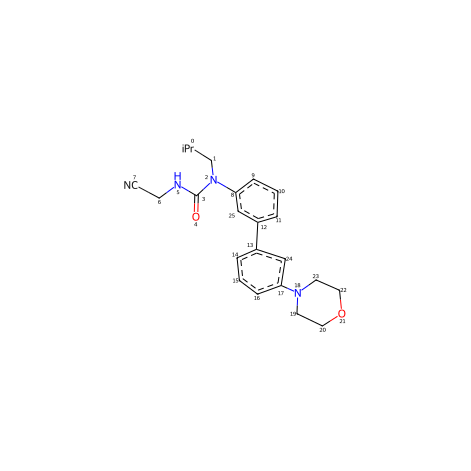 CC(C)CN(C(=O)NCC#N)c1cccc(-c2cccc(N3CCOCC3)c2)c1